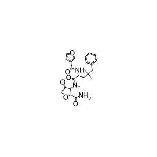 CN(C(=O)[C@H](CC(C)(C)Cc1ccccc1)NC(=O)c1ccoc1)C1C(=O)COC1C(N)=O